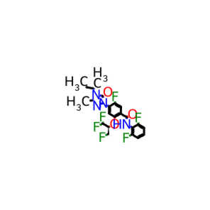 CCC(C)n1c(C)nn(-c2cc(O[C@@H](CF)C(F)F)c(C(=O)Nc3c(F)cccc3F)cc2F)c1=O